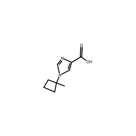 CC1(n2cnc(C(=O)O)c2)CCC1